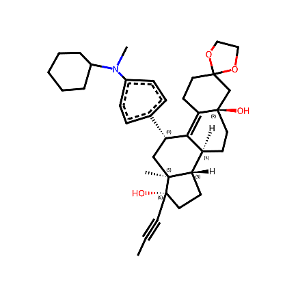 CC#C[C@]1(O)CC[C@H]2[C@@H]3CC[C@@]4(O)CC5(CCC4=C3[C@@H](c3ccc(N(C)C4CCCCC4)cc3)C[C@@]21C)OCCO5